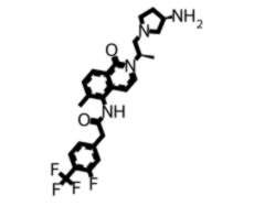 Cc1ccc2c(=O)n([C@H](C)CN3CC[C@@H](N)C3)ccc2c1NC(=O)Cc1ccc(C(F)(F)F)c(F)c1